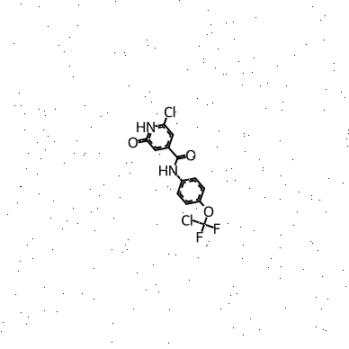 O=C(Nc1ccc(OC(F)(F)Cl)cc1)c1cc(Cl)[nH]c(=O)c1